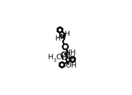 CC(C)C[C@@H](NC(=O)NC1CCC(CCN2[C@@H]3CC[C@H]2c2ccccc23)CC1)C(O)(c1ccccc1)c1ccccc1